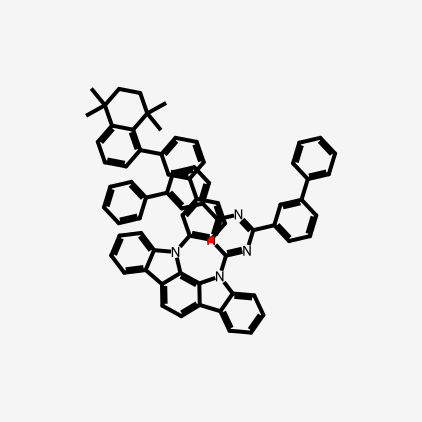 CC1(C)CCC(C)(C)c2c(-c3cccc(-c4cccc(-n5c6ccccc6c6ccc7c8ccccc8n(-c8nc(-c9cccc(-c%10ccccc%10)c9)nc(-c9cccc(-c%10ccccc%10)c9)n8)c7c65)c4)c3)cccc21